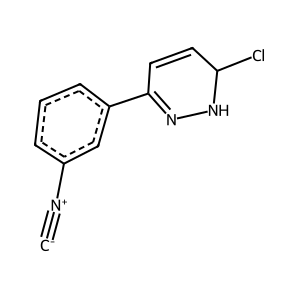 [C-]#[N+]c1cccc(C2=NNC(Cl)C=C2)c1